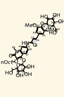 CCCCCCCCOc1c(O[C@@H]2O[C@H](CO)[C@H](O)[C@H](O)[C@H]2O)c2ccc(NC(=O)/C=C/c3cc(OC)c(O[C@@H]4O[C@H](CO)[C@H](O)[C@H](O)[C@H]4O)c(OC)c3)cc2n(C)c1=O